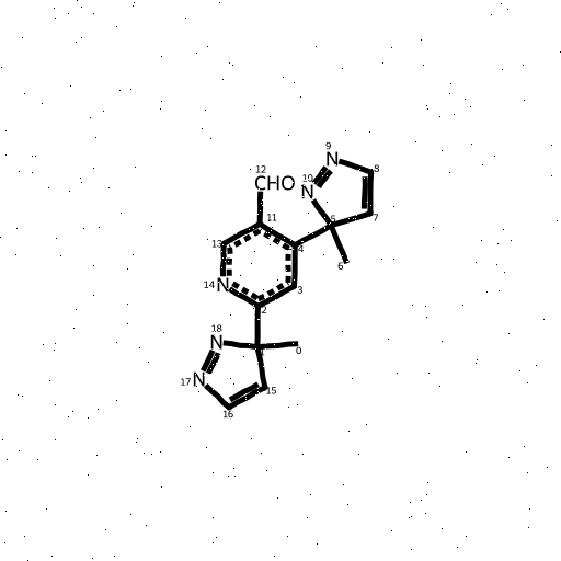 CC1(c2cc(C3(C)C=CN=N3)c(C=O)cn2)C=CN=N1